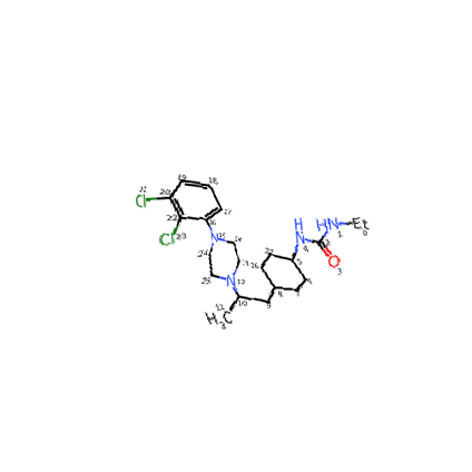 CCNC(=O)NC1CCC(CC(C)N2CCN(c3cccc(Cl)c3Cl)CC2)CC1